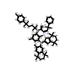 C=C(/C=C\C(C)(c1ccccc1)C(C)(C)C)N(c1cc(C)cc(N(C2=CC3=C(C2)C(C)(C)CCC3(C)C)c2cc3c(cc2C)C(C)(C)CCC3(C)C)c1C)C(C)(C)CCC(C)(C)c1ccc(C)cc1